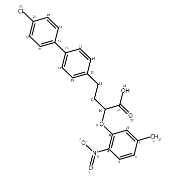 Cc1ccc([N+](=O)[O-])c(OC(CCc2ccc(-c3ccc(Cl)cc3)cc2)C(=O)O)c1